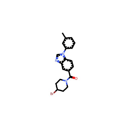 Cc1cccc(-n2cnc3cc(C(=O)N4CCC(Br)CC4)ccc32)c1